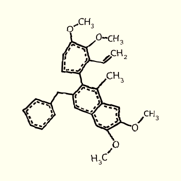 C=Cc1c(-c2c(Cc3ccccc3)cc3cc(OC)c(OC)cc3c2C)ccc(OC)c1OC